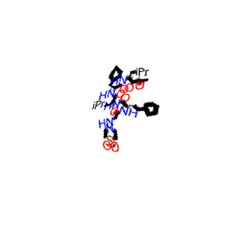 CC(C)C[C@H](NC(=O)[C@H](CCc1ccccc1)NC(=O)CNN1CCS(=O)(=O)CC1)C(=O)N[C@@H](Cc1ccccc1)C(=O)N[C@@H](CC(C)C)C(=O)[C@@]1(C)CO1